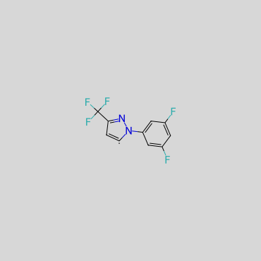 Fc1cc(F)cc(-n2[c]cc(C(F)(F)F)n2)c1